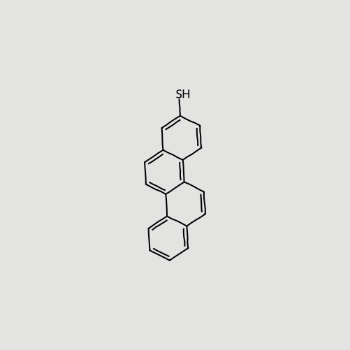 Sc1ccc2c(ccc3c4ccccc4ccc23)c1